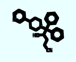 N#CCCC(O)C(c1ccccc1)(c1ccccc1)N1CCC(c2cccnc2)CC1